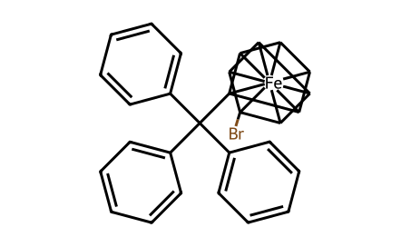 Br[C]12[CH]3[CH]4[CH]5[CH]1[Fe]45321678[CH]2[CH]1[CH]6[C]7(C(c1ccccc1)(c1ccccc1)c1ccccc1)[CH]28